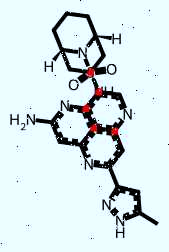 Cc1cc(-c2ccc3c(N[C@H]4C[C@H]5CCC[C@@H](C4)N5S(=O)(=O)c4cccnc4)nc(N)cc3n2)n[nH]1